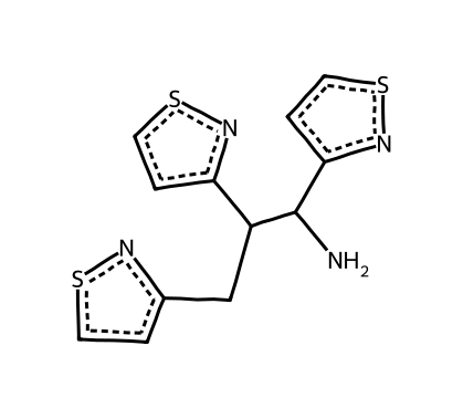 NC(c1ccsn1)C(Cc1ccsn1)c1ccsn1